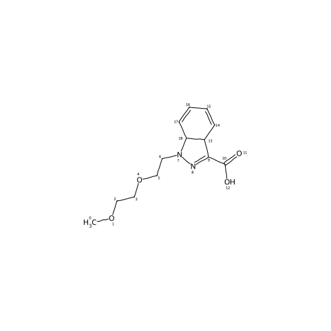 COCCOCCN1N=C(C(=O)O)C2C=CC=CC21